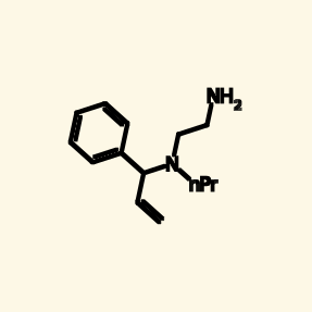 [CH2]CCN(CCN)C(C=C)c1ccccc1